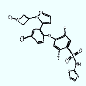 CCN1CC(n2nccc2-c2cc(Cl)ccc2Oc2cc(F)c(S(=O)(=O)Nc3ncns3)cc2F)C1